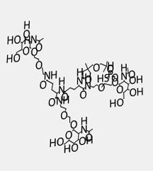 CC(=O)NC1C(OCCOCCNC(=O)CCC(NC(=O)CCC(NC(=O)CC(C)(C)COCC(C)(C)O[PH](=O)S)C(=O)NCCOCCOC2OC(CO)C(O)C(O)C2NC(C)=O)C(=O)NCCOCCOC2OC(CO)C(O)C(O)C2NC(C)=O)OC(CO)C(O)C1O